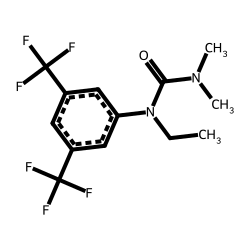 CCN(C(=O)N(C)C)c1cc(C(F)(F)F)cc(C(F)(F)F)c1